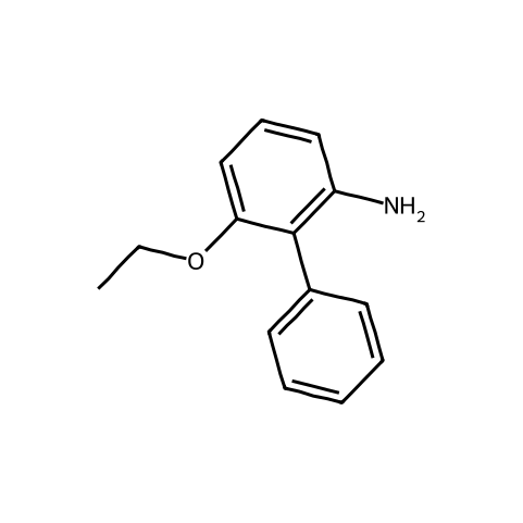 CCOc1cccc(N)c1-c1ccccc1